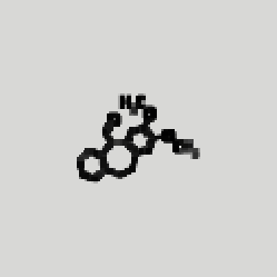 COc1cc2c(cc1OC)C(C=O)c1ccccc1CC2